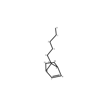 CCCCCC1C2C=CC1CC2